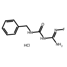 Cl.NC(=NF)NC(=O)NCc1ccccc1